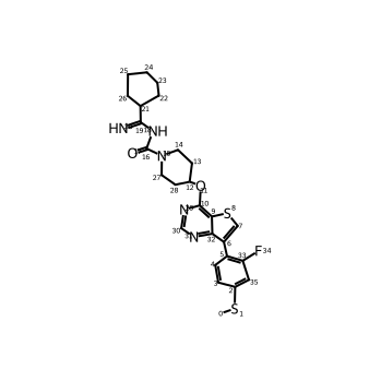 CSc1ccc(-c2csc3c(OC4CCN(C(=O)NC(=N)C5CCCCC5)CC4)ncnc23)c(F)c1